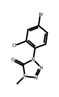 Cn1nnn(-c2ccc(Br)cc2Cl)c1=O